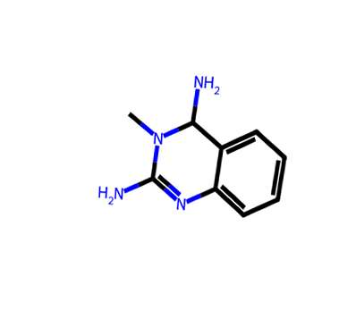 CN1C(N)=Nc2ccccc2C1N